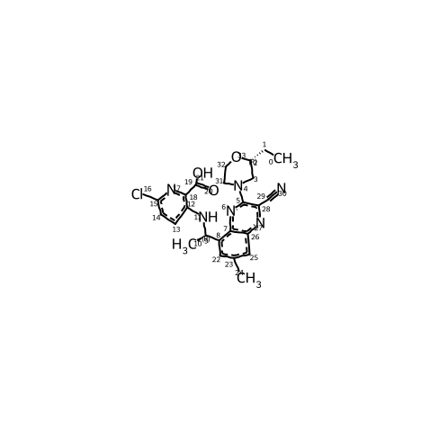 CC[C@@H]1CN(c2nc3c([C@@H](C)Nc4ccc(Cl)nc4C(=O)O)cc(C)cc3nc2C#N)CCO1